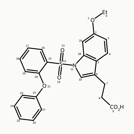 CCOc1ccc2c(CCC(=O)O)cn(S(=O)(=O)c3ccccc3Oc3ccccc3)c2c1